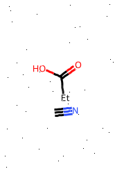 C#N.CCC(=O)O